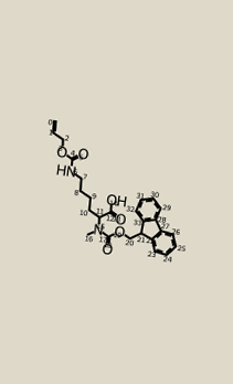 C=CCOC(=O)NCCCCC(C(=O)O)N(C)C(=O)OCC1c2ccccc2-c2ccccc21